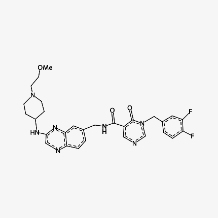 COCCN1CCC(Nc2cnc3ccc(CNC(=O)c4cncn(Cc5ccc(F)c(F)c5)c4=O)cc3n2)CC1